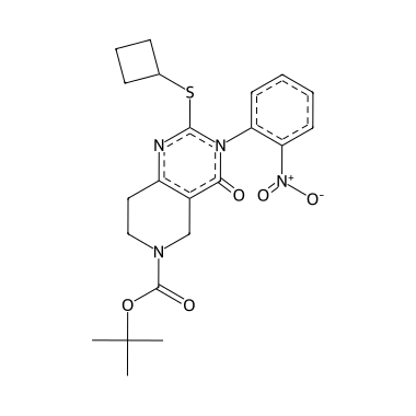 CC(C)(C)OC(=O)N1CCc2nc(SC3CCC3)n(-c3ccccc3[N+](=O)[O-])c(=O)c2C1